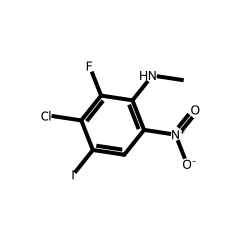 CNc1c([N+](=O)[O-])cc(I)c(Cl)c1F